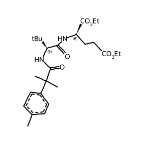 CCOC(=O)CC[C@@H](NC(=O)[C@@H](NC(=O)C(C)(C)c1ccc(C)cc1)C(C)(C)C)C(=O)OCC